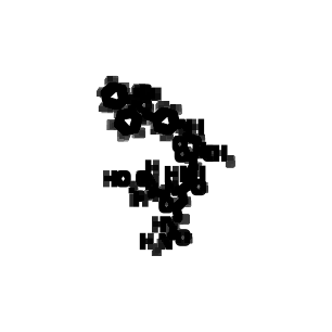 CC(C)C(NC(=O)O)C(=O)NC(CCCNC(N)=O)C(=O)NCC(=O)N(C)CC(=O)Nc1ccc(CO[Si](c2ccccc2)(c2ccccc2)C(C)(C)C)cc1